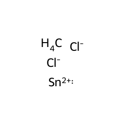 C.[Cl-].[Cl-].[Sn+2]